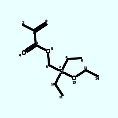 C=C(C)C(=O)OC[Si](CC)(CC)OCC